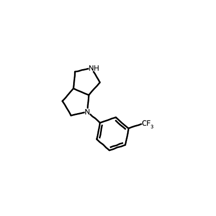 FC(F)(F)c1cccc(N2CCC3CNCC32)c1